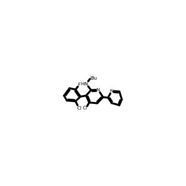 CCC(C)Nc1nc(-c2ccccn2)cc(Cl)c1-c1c(F)cccc1Cl